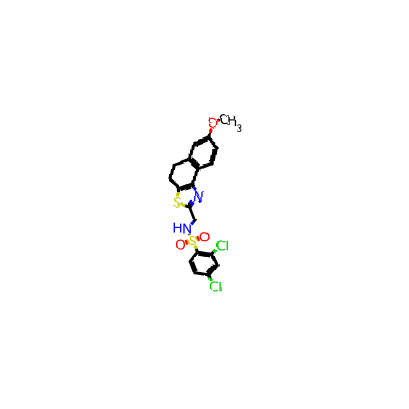 COc1ccc2c(c1)CCc1sc(CNS(=O)(=O)c3ccc(Cl)cc3Cl)nc1-2